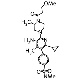 CNS(=O)(=O)c1ccc(-c2c(C3CC3)nc(N3CCN(C(=O)CCOC)[C@H](C)C3)c(N)c2C)cc1